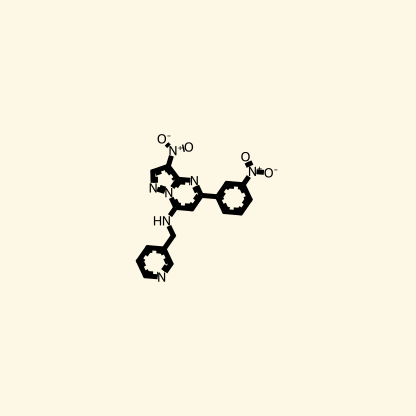 O=[N+]([O-])c1cccc(-c2cc(NCc3cccnc3)n3ncc([N+](=O)[O-])c3n2)c1